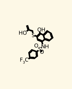 C=C(O)CSc1cc(NS(=O)(=O)c2ccc(C(F)(F)F)cc2)c2ccccc2c1O